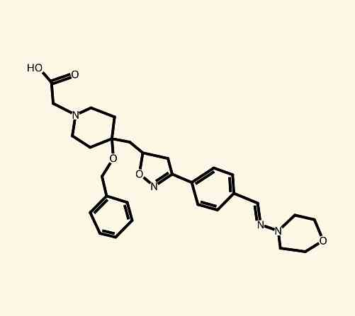 O=C(O)CN1CCC(CC2CC(c3ccc(C=NN4CCOCC4)cc3)=NO2)(OCc2ccccc2)CC1